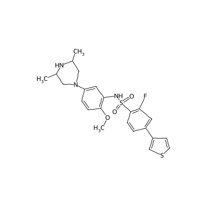 COc1ccc(N2CC(C)NC(C)C2)cc1NS(=O)(=O)c1ccc(-c2ccsc2)cc1F